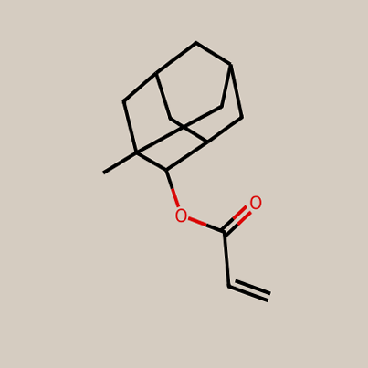 C=CC(=O)OC1C2CC3CC(C2)CC1(C)C3